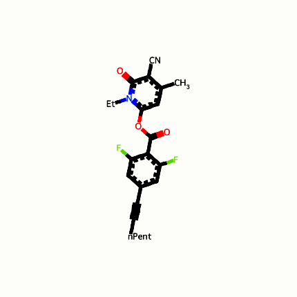 CCCCCC#Cc1cc(F)c(C(=O)Oc2cc(C)c(C#N)c(=O)n2CC)c(F)c1